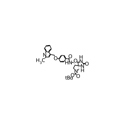 Cc1cc(COc2ccc(C(=O)NC[C@H]3CN(C(=O)OC(C)(C)C)C[C@]34NC(=O)NC4=O)cc2)c2ccccc2n1